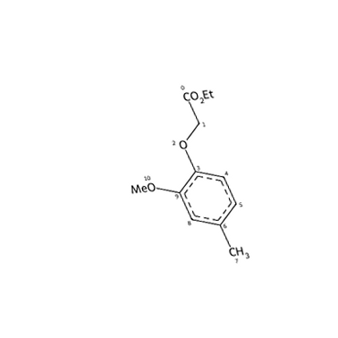 CCOC(=O)COc1ccc(C)cc1OC